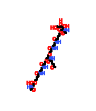 CC(=O)CCCC(=O)NC(COCCC(=O)NCCCNC(=O)CCCCOC(O)CNC(C)=O)COCCC(=O)NCCCNC(=O)CCCCOC1OC(CO)C(O)C(O)C1NC(C)=O